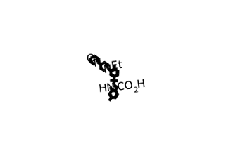 CCc1ccc(C(C)(C)c2[nH]c3cc(C)ccc3c2C(=O)O)cc1N1CCC(N2CCOCC2)CC1